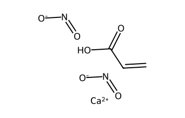 C=CC(=O)O.O=N[O-].O=N[O-].[Ca+2]